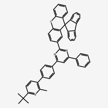 Cc1nc(C(C)(C)C)ccc1-c1ccc(-c2cc(-c3ccccc3)nc(-c3ccc4c(c3)C3(c5ccccc5S4)c4ccccc4-c4ccccc43)n2)cc1